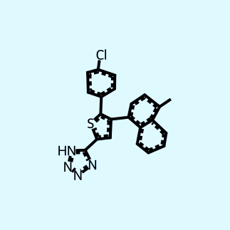 Cc1ccc(-c2cc(-c3nnn[nH]3)sc2-c2ccc(Cl)cc2)c2ccccc12